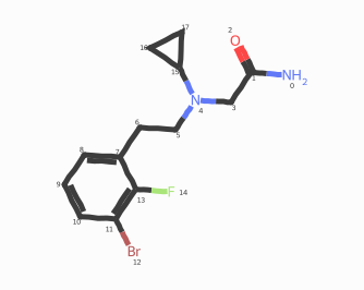 NC(=O)CN(CCc1cccc(Br)c1F)C1CC1